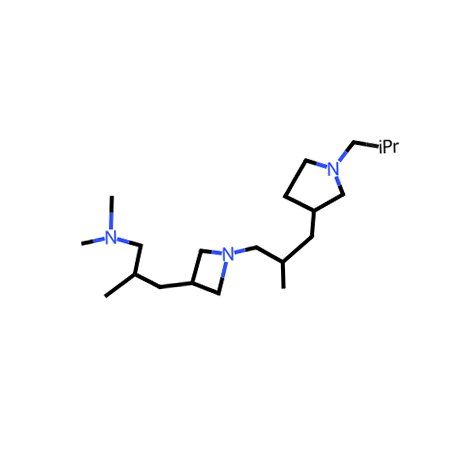 CC(C)CN1CCC(CC(C)CN2CC(CC(C)CN(C)C)C2)C1